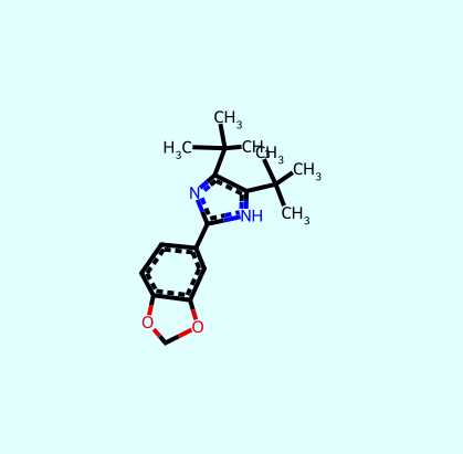 CC(C)(C)c1nc(-c2ccc3c(c2)OCO3)[nH]c1C(C)(C)C